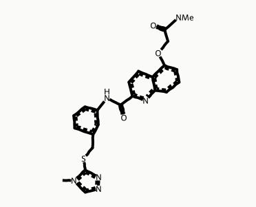 CNC(=O)COc1cccc2nc(C(=O)Nc3cccc(CSc4nncn4C)c3)ccc12